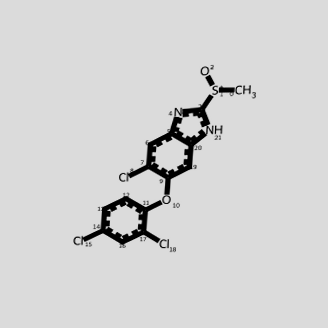 C[S+]([O-])c1nc2cc(Cl)c(Oc3ccc(Cl)cc3Cl)cc2[nH]1